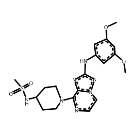 COc1cc(Nc2nc3c(N4CCC(NS(C)(=O)=O)CC4)nccn3n2)cc(OC)c1